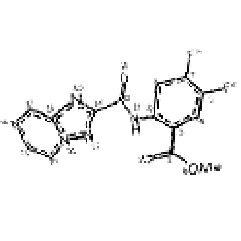 COC(=O)c1cc(F)c(F)cc1NC(=O)c1nc2cnccn2n1